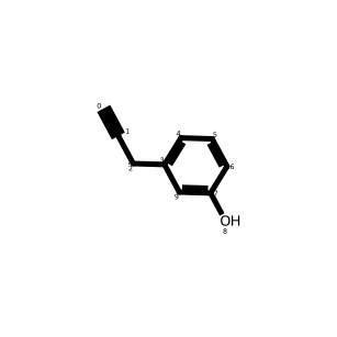 C#C[CH]c1cccc(O)c1